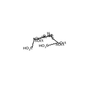 CCCCCCCCC(CCCCCCCCC(=O)O)C(CCCCCCCC)CCCCCCCCC(=O)NCCNC(C)(CC)C(=O)CCCCCCCCC(CCCCCCCC)C(CCCCCCCC)CCCCCCCCC(=O)O